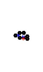 c1ccc(-c2cccc(N(c3ccccc3)c3cccc(-c4nc5c(o4)-c4cccc6cccc-5c46)c3)c2)cc1